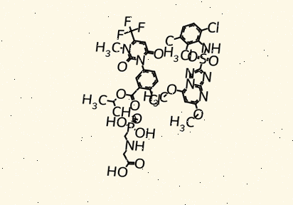 CC(C)OC(=O)c1cc(-n2c(=O)cc(C(F)(F)F)n(C)c2=O)ccc1Cl.COc1cc(OC)n2nc(S(=O)(=O)Nc3c(Cl)ccc(C)c3Cl)nc2n1.O=C(O)CNCP(=O)(O)O